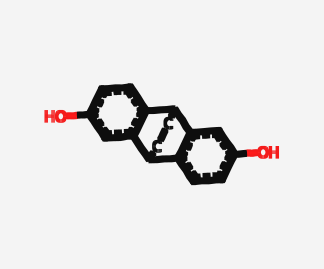 Oc1ccc2c(c1)C1CCC2c2cc(O)ccc21